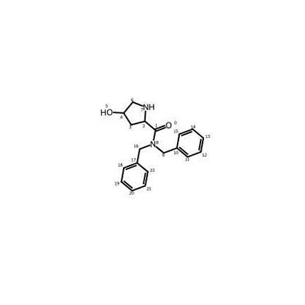 O=C(C1CC(O)CN1)N(Cc1ccccc1)Cc1ccccc1